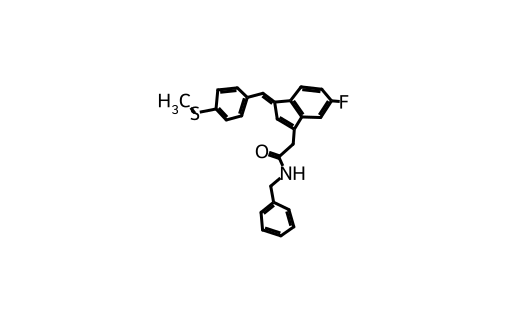 CSc1ccc(C=C2C=C(CC(=O)NCc3ccccc3)c3cc(F)ccc32)cc1